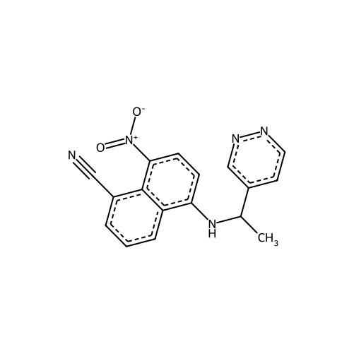 CC(Nc1ccc([N+](=O)[O-])c2c(C#N)cccc12)c1ccnnc1